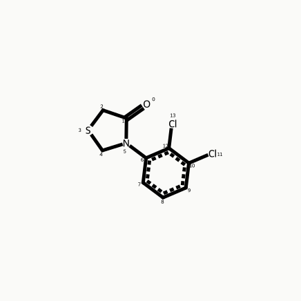 O=C1CSCN1c1cccc(Cl)c1Cl